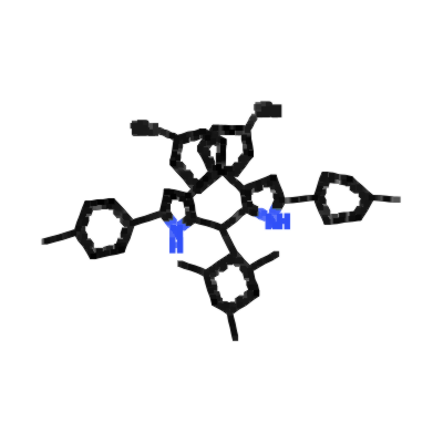 Cc1ccc(-c2cc(-c3ccc(C(C)(C)C)cc3)c(C(c3[nH]c(-c4ccc(C)cc4)cc3-c3ccc(C(C)(C)C)cc3)c3c(C)cc(C)cc3C)[nH]2)cc1